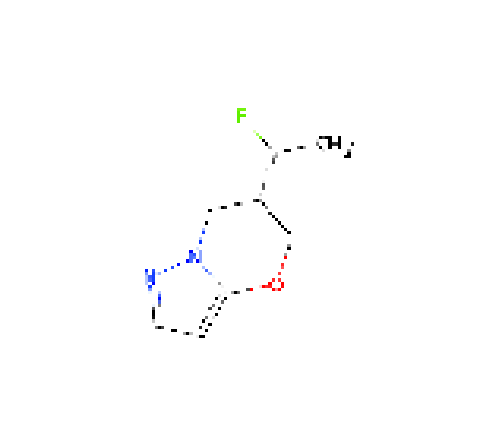 [CH2]C(F)[C@@H]1COc2ccnn2C1